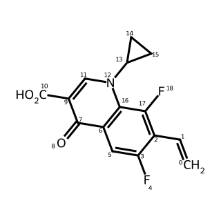 C=Cc1c(F)cc2c(=O)c(C(=O)O)cn(C3CC3)c2c1F